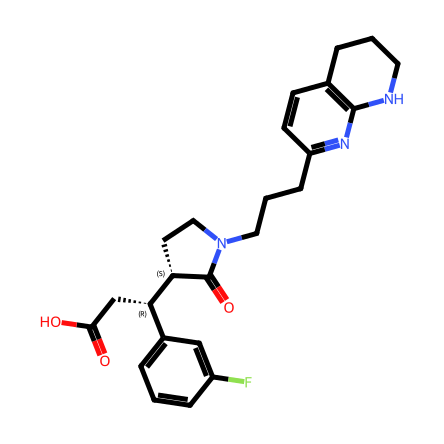 O=C(O)C[C@@H](c1cccc(F)c1)[C@@H]1CCN(CCCc2ccc3c(n2)NCCC3)C1=O